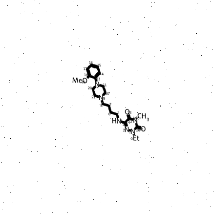 CCn1nc(NCCCCN2CCN(c3ccccc3OC)CC2)c(=O)n(C)c1=O